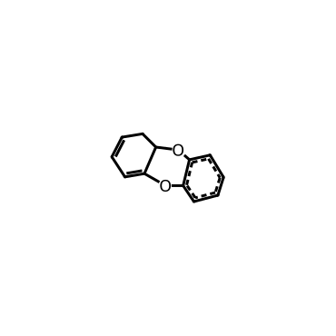 C1=CCC2Oc3ccccc3OC2=C1